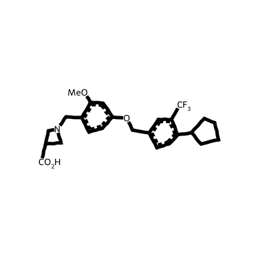 COc1cc(OCc2ccc(C3CCCC3)c(C(F)(F)F)c2)ccc1CN1CC(C(=O)O)C1